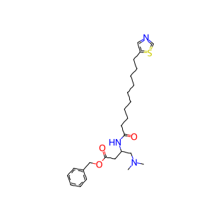 CN(C)CC(CC(=O)OCc1ccccc1)NC(=O)CCCCCCCCCc1cncs1